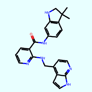 CC1(C)CNc2cc(NC(=O)c3cccnc3NCc3ccnc4[nH]ccc34)ccc21